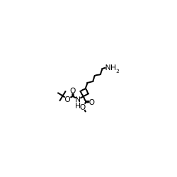 COC(=O)C1(NC(=O)OC(C)(C)C)CC(CCCCCN)C1